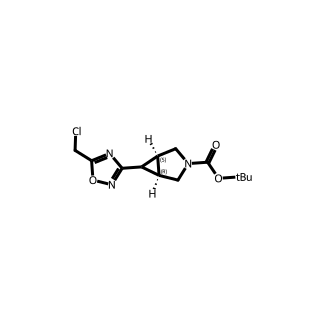 CC(C)(C)OC(=O)N1C[C@@H]2C(c3noc(CCl)n3)[C@@H]2C1